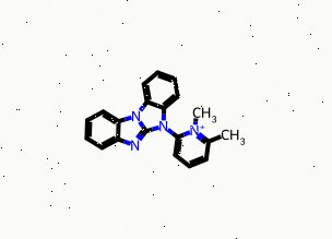 Cc1cccc(-n2c3ccccc3n3c4ccccc4nc23)[n+]1C